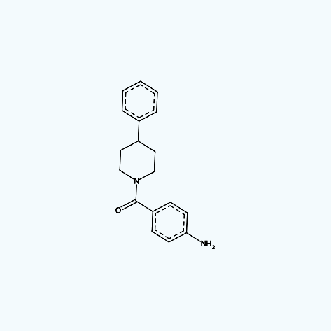 Nc1ccc(C(=O)N2CCC(c3ccccc3)CC2)cc1